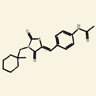 CC(=O)Nc1ccc(/C=C2\SC(=O)N(CC3(C)CCCCC3)C2=O)cc1